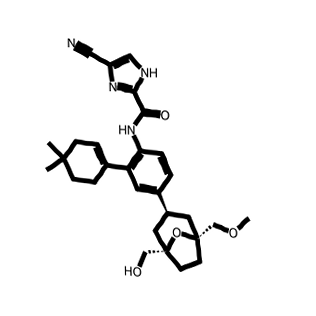 COC[C@@]12CC[C@@](CO)(C[C@@H](c3ccc(NC(=O)c4nc(C#N)c[nH]4)c(C4=CCC(C)(C)CC4)c3)C1)O2